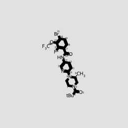 C[C@@H]1CN(C(=O)C(C)(C)C)CCN1c1ccc(NC(=O)c2ccc(Br)c(OC(F)(F)F)c2F)cn1